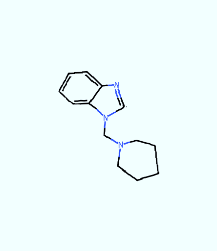 [c]1nc2ccccc2n1CN1CCCCC1